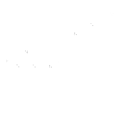 CCCCNc1ncc2c3ccc(N4CCN(C5COC5)CC4)cc3c(=O)n(C3CCC(O)CC3)c2n1